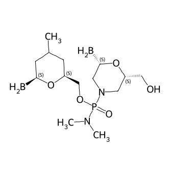 B[C@H]1CC(C)C[C@@H](COP(=O)(N(C)C)N2C[C@@H](CO)O[C@@H](B)C2)O1